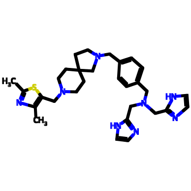 Cc1nc(C)c(CN2CCC3(CC2)CCN(Cc2ccc(CN(Cc4ncc[nH]4)Cc4ncc[nH]4)cc2)C3)s1